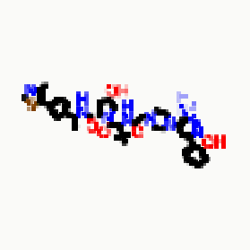 Cc1ncsc1-c1ccc(C(C)NC(=O)[C@@H]2C[C@@H](O)CN2C(=O)C(NC(=O)CN2CCN(c3cc(-c4ccccc4O)nnc3N)CC2)C(C)(C)C)cc1